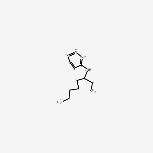 CCCCCC(CC)Nc1ccnnn1